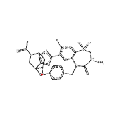 CC(=O)N1CCC2CC2(c2nnc(-c3cc4c(cc3F)S(=O)(=O)C[C@H](N)C(=O)N4Cc3ccc(Cl)cc3)o2)C1